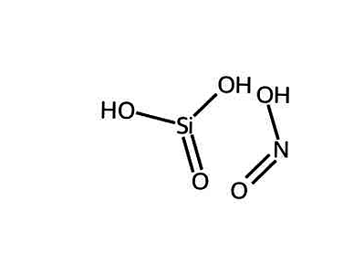 O=NO.O=[Si](O)O